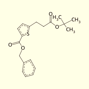 CC(C)(C)OC(=O)CCc1ccc(C(=O)OCc2ccccc2)s1